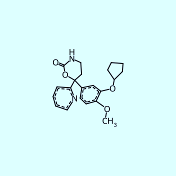 COc1ccc(C2(c3ccccn3)CCNC(=O)O2)cc1OC1CCCC1